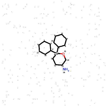 C1CCC([Si]2(C3CCCCC3)CCCCO2)CC1.N